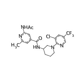 CC(=O)Nc1cc(C(=O)NC2CCCN(c3ncc(C(F)(F)F)cc3Cl)C2)cc(C)n1